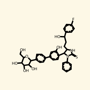 OCC1OC(c2ccc(-c3ccc(C4C(CCC(O)c5ccc(F)cc5)NC(=S)N4c4ccccc4)c(O)c3)cc2)C(O)C(O)C1O